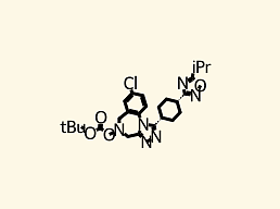 CC(C)c1nc([C@H]2CC[C@@H](c3nnc4n3-c3ccc(Cl)cc3CN(OC(=O)OC(C)(C)C)C4)CC2)no1